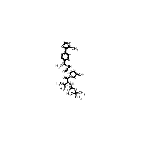 Cc1ncsc1-c1ccc([C@H](C)NC(=O)[C@@H]2C[C@@H](O)CN2C(=O)[C@@H](NC(=O)OC(C)(C)C)C(C)C)cc1